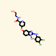 Cn1c(Nc2ccc(Br)c(Cl)c2)nc2cc(Oc3ccnc(C(=O)NCCO)c3)ccc21